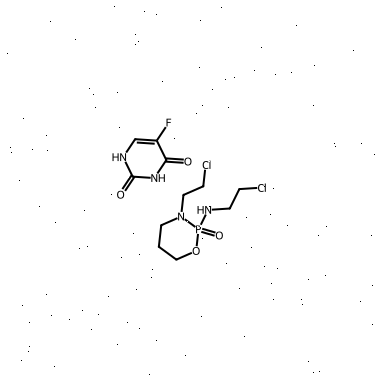 O=P1(NCCCl)OCCCN1CCCl.O=c1[nH]cc(F)c(=O)[nH]1